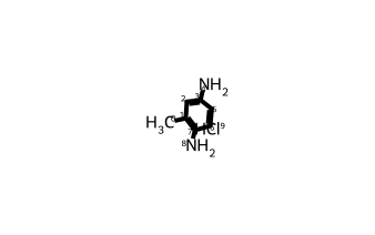 Cc1cc(N)ccc1N.Cl